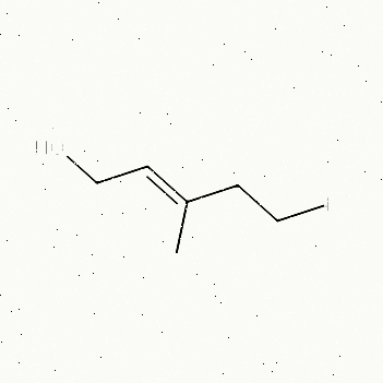 C/C(=C\CO)CCI